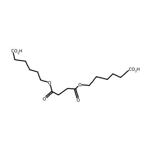 O=C(O)CCCCCOC(=O)CCC(=O)OCCCCCC(=O)O